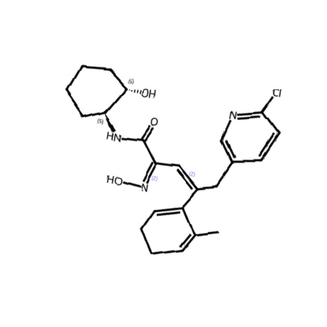 CC1=CCCC=C1/C(=C\C(=N\O)C(=O)N[C@H]1CCCC[C@@H]1O)Cc1ccc(Cl)nc1